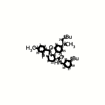 Cc1ccc(C(=O)N2CCC[C@H](C(=O)Nc3cccc(C(C)(C)C)c3)[C@@H]2c2ccc(N(C)CC(C)(C)C)cc2)c(F)c1